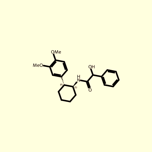 COc1ccc([C@H]2CCCC[C@@H]2NC(=O)C(O)c2ccccc2)cc1OC